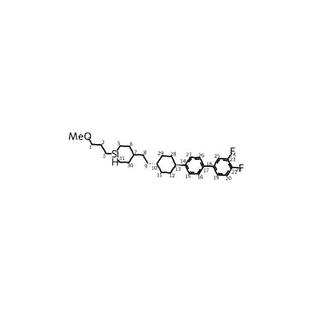 COCCC[SiH]1CCC(CC[C@H]2CC[C@H](c3ccc(-c4ccc(F)c(F)c4)cc3)CC2)CC1